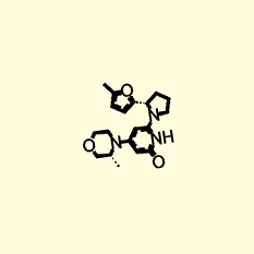 Cc1ccc([C@@H]2CCCN2c2cc(N3CCOC[C@H]3C)cc(=O)[nH]2)o1